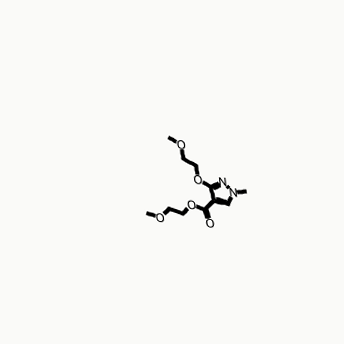 COCCOC(=O)c1cn(C)nc1OCCOC